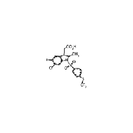 CC1C(CC(=O)O)c2cc(F)c(Cl)cc2N1S(=O)(=O)c1ccc(SC(F)(F)F)cc1